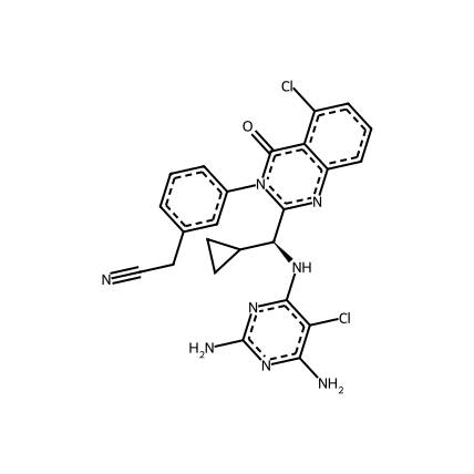 N#CCc1cccc(-n2c([C@@H](Nc3nc(N)nc(N)c3Cl)C3CC3)nc3cccc(Cl)c3c2=O)c1